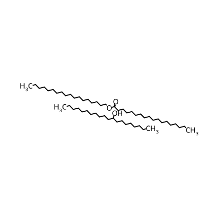 CCCCCCCCCCCC(O)CCCCCCCC.CCCCCCCCCCCCCCCCCCOC(=O)CCCCCCCCCCCCCCCCC